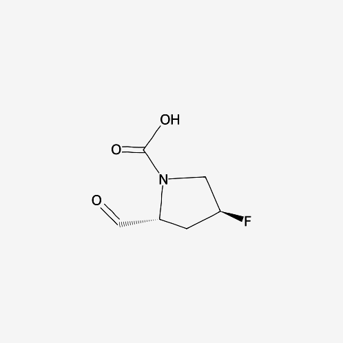 O=C[C@H]1C[C@H](F)CN1C(=O)O